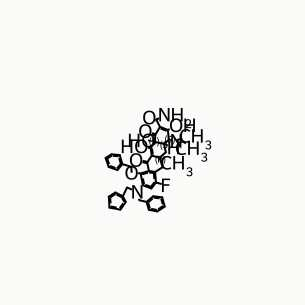 CN(C)[C@@H]1C(O)=C(C(N)=O)C(=O)[C@@]2(O)C(O)=C3C(=O)c4c(c(F)cc(N(Cc5ccccc5)Cc5ccccc5)c4OCc4ccccc4)C[C@@]3(C)C[C@@H]12